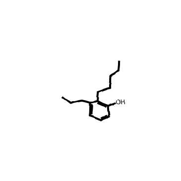 CCCCCc1c(O)cccc1CCC